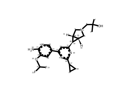 CC(C)(O)CN1C[C@@H]2[C@H](C1)[C@H]2c1cc(-c2cnc(N)c(OC(F)F)c2)nc(C2CC2)n1